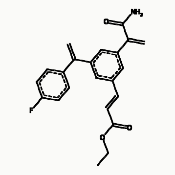 C=C(C(N)=O)c1cc(C=CC(=O)OCC)cc(C(=C)c2ccc(F)cc2)c1